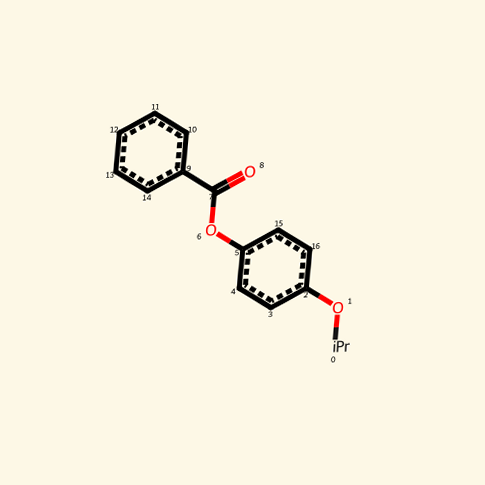 CC(C)Oc1ccc(OC(=O)c2ccccc2)cc1